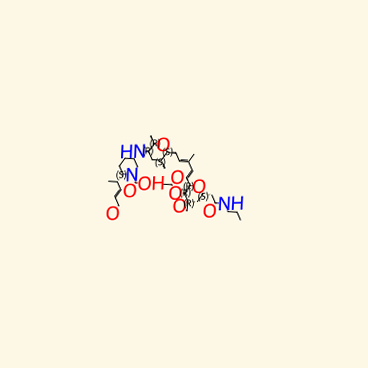 CCCNC(=O)C[C@@H]1C[C@@]2(CO2)[C@H](OC(C)=O)[C@@H](C=CC(C)=CC[C@@H]2O[C@H](C)[C@H](NC3CC[C@@H](C(C)C=CC=O)N(C(=O)O)C3)C[C@@H]2C)O1